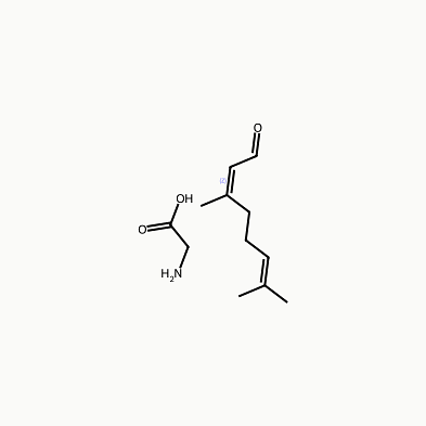 CC(C)=CCC/C(C)=C\C=O.NCC(=O)O